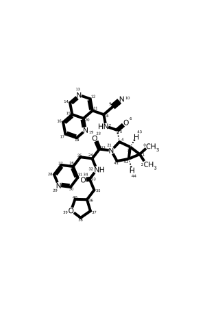 CC1(C)[C@@H]2[C@@H](C(=O)NC(C#N)c3cncc4cccnc34)N(C(=O)C(Cc3ccncc3)NC(=O)CC3CCOC3)C[C@@H]21